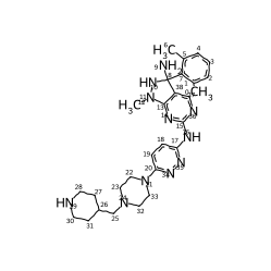 Cc1cccc(C)c1C1(N)NN(C)c2nc(Nc3ccc(N4CCN(CC5CCNCC5)CC4)nn3)ncc21